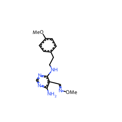 CON=Cc1c(N)ncnc1NCCc1ccc(OC)cc1